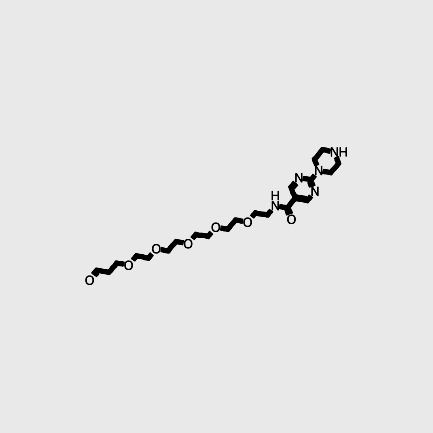 O=CCCOCCOCCOCCOCCOCCNC(=O)c1cnc(N2CCNCC2)nc1